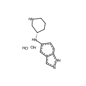 Cl.Cl.c1cc2[nH]ncc2cc1N[C@H]1CCCNC1